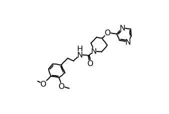 COc1ccc(CCNC(=O)N2CCC(Oc3cnccn3)CC2)cc1OC